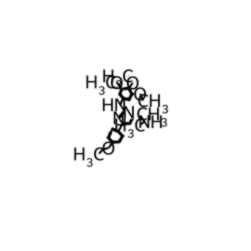 CCOc1ccc(-c2ccnc(Nc3cc(OC)c(OC)c(OC)c3)n2)cc1.CNC